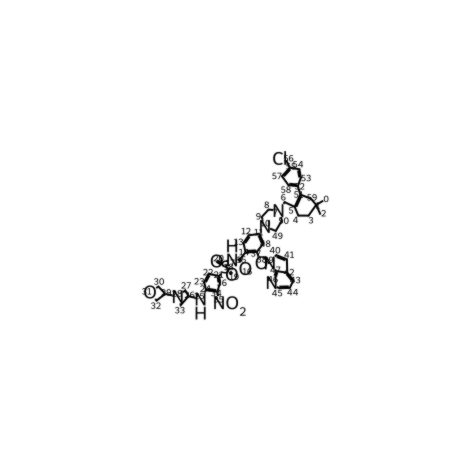 CC1(C)CCC(CN2CCN(c3ccc(C(=O)NS(=O)(=O)c4ccc(NC5CN(C6COC6)C5)c([N+](=O)[O-])c4)c(On4ccc5cccnc54)c3)CC2)=C(c2ccc(Cl)cc2)C1